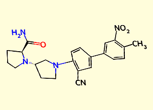 Cc1ccc(-c2ccc(N3CC[C@H](N4CCC[C@H]4C(N)=O)C3)c(C#N)c2)cc1[N+](=O)[O-]